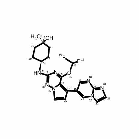 C[C@]1(O)CC[C@@H](Nc2nc(OC(F)F)c3c(-c4cnc5nccn5c4)ccn3n2)CC1